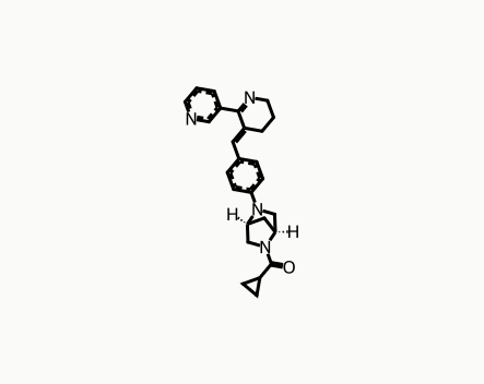 O=C(C1CC1)N1C[C@@H]2C[C@H]1CN2c1ccc(/C=C2\CCCN=C2c2cccnc2)cc1